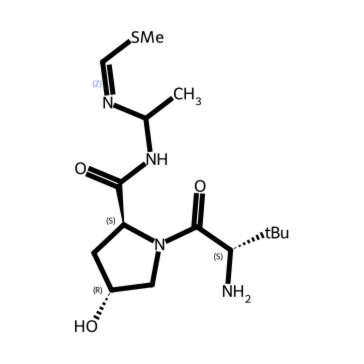 CS/C=N\C(C)NC(=O)[C@@H]1C[C@@H](O)CN1C(=O)[C@@H](N)C(C)(C)C